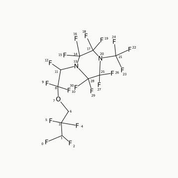 FC(F)C(F)(F)COC(F)(F)C(F)N1C(F)(F)C(F)(F)N(C(F)(F)F)C(F)(F)C1(F)F